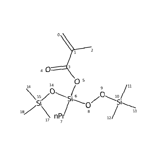 C=C(C)C(=O)O[Si](CCC)(OO[Si](C)(C)C)O[Si](C)(C)C